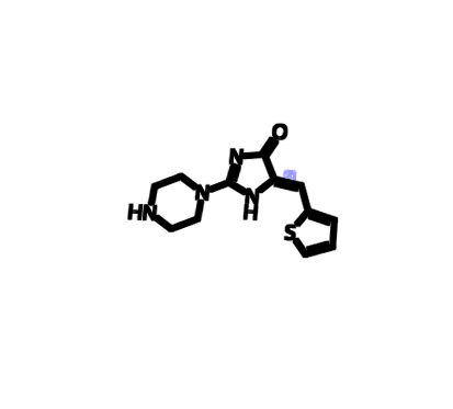 O=C1N=C(N2CCNCC2)N/C1=C\c1cccs1